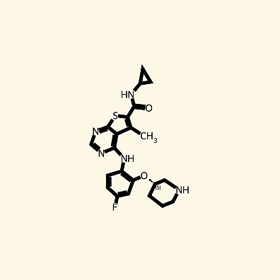 Cc1c(C(=O)NC2CC2)sc2ncnc(Nc3ccc(F)cc3O[C@H]3CCCNC3)c12